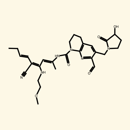 CC/C=C/C(C#N)=C(\C=C(/C)NC(=O)N1CCCc2cc(CN3CCC(O)C3=O)c(C=O)nc21)NCCOC